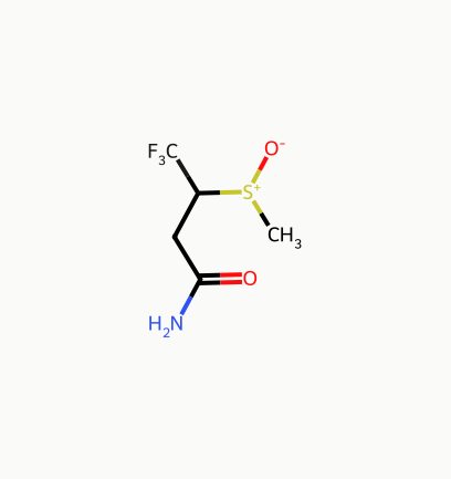 C[S+]([O-])C(CC(N)=O)C(F)(F)F